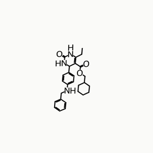 CCC1=C(C(=O)OCC2CCCCC2)C(c2ccc(NCc3ccccc3)cc2)NC(=O)N1